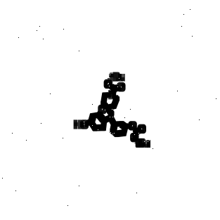 CC(C)(C)OC(=O)Oc1cccc(C2CC3(CCN(C(=O)OC(C)(C)C)CC3)Oc3cc(O)ccc32)c1